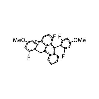 COc1cc(F)c(Cc2c3ccccc3c(-c3c(F)cc(OC)cc3F)c3c(F)ccc(F)c23)c(F)c1